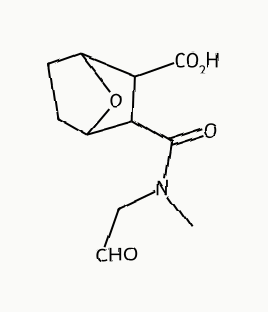 CN(CC=O)C(=O)C1C2CCC(O2)C1C(=O)O